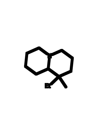 CCC1(C)CCCN2CCCCC21